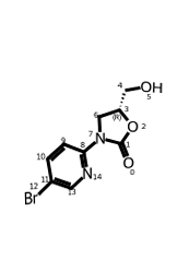 O=C1O[C@@H](CO)CN1c1ccc(Br)cn1